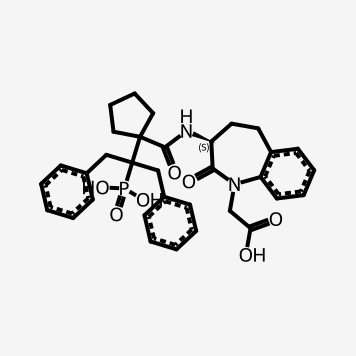 O=C(O)CN1C(=O)[C@@H](NC(=O)C2(C(Cc3ccccc3)(Cc3ccccc3)P(=O)(O)O)CCCC2)CCc2ccccc21